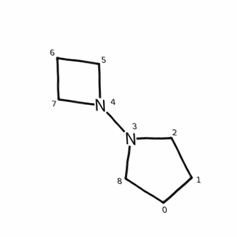 C1CCN(N2CCC2)C1